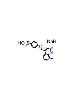 Cc1cc(COc2ccc(S(=O)(=O)O)cc2)c2cccc(C)c2n1.[NaH]